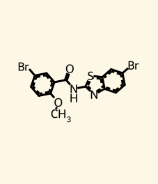 COc1ccc(Br)cc1C(=O)Nc1nc2ccc(Br)cc2s1